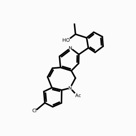 CC(=O)N1Cc2cc(-c3ccccc3C(C)O)ncc2C=Cc2cc(Cl)ccc21